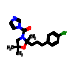 CC1(C)CN(C(=O)n2ccnc2)C(C)(CCCc2ccc(Br)cc2)O1